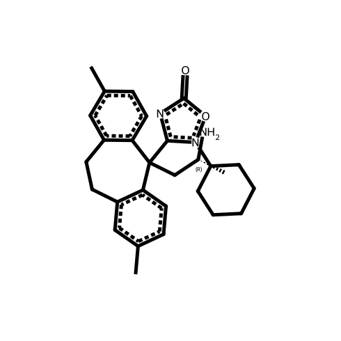 Cc1ccc2c(c1)CCc1cc(C)ccc1C2(C[C@@H](C)N)c1nc(=O)on1C1CCCCC1